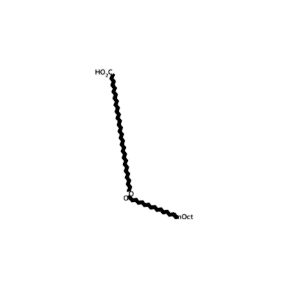 CCCCCCCCC=CCCCCCCCCCCCCCC(=O)OCCCCCCCCCCCCCCCCCCCCCCCCCCCCCCCCCCCCC(=O)O